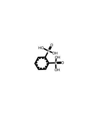 O=P(O)(O)c1[c]cccc1P(=O)(O)O